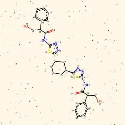 O=C(Nc1nnc([C@H]2CCC[C@H](c3nnc(NC(=O)C(CO)c4ccccc4)s3)C2)s1)C(CO)c1ccccc1